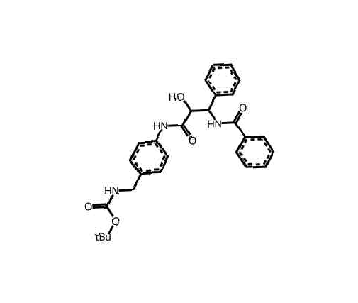 CC(C)(C)OC(=O)NCc1ccc(NC(=O)C(O)C(NC(=O)c2ccccc2)c2ccccc2)cc1